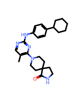 Cc1cnc(Nc2ccc(C3CCCCC3)cc2)nc1N1CCC2(CCNC2=O)CC1